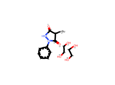 CCCCC1C(=O)NN(c2ccccc2)C1=O.OCCO.OCCO